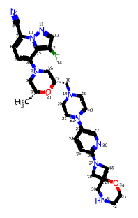 C[C@@H]1CN(c2ccc(C#N)n3ncc(F)c23)C[C@H](CN2CCN(c3ccc(N4CC5(CNCCO5)C4)nc3)CC2)O1